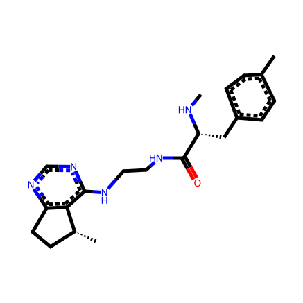 CN[C@H](Cc1ccc(C)cc1)C(=O)NCCNc1ncnc2c1[C@H](C)CC2